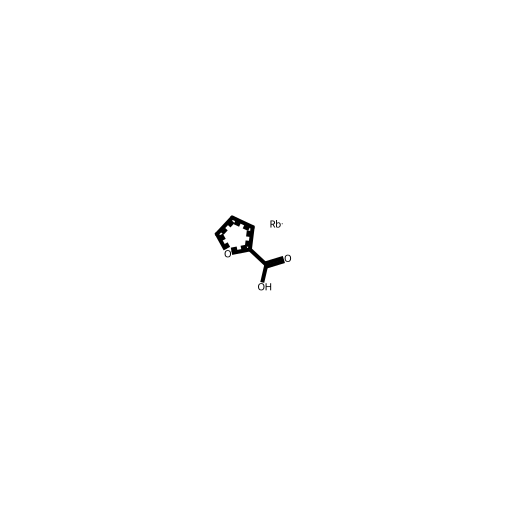 O=C(O)c1ccco1.[Rb]